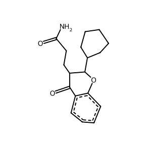 NC(=O)CCC1C(=O)c2ccccc2OC1C1CCCCC1